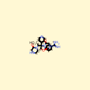 CCC(Oc1ccc(C(=N)N)cc1)C(c1ccncc1)(C(C(=O)O)N1CCNCC1=O)N1CCNCC1=O